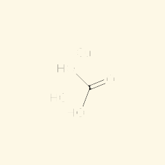 Cl.O=C(O)O.[Cu]